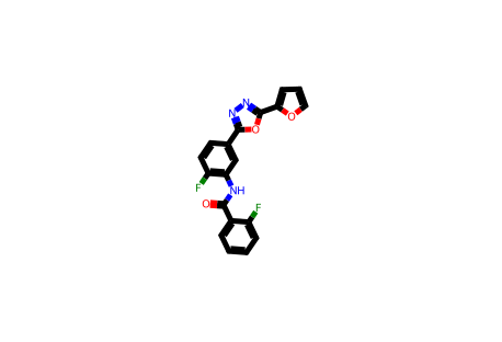 O=C(Nc1cc(-c2nnc(-c3ccco3)o2)ccc1F)c1ccccc1F